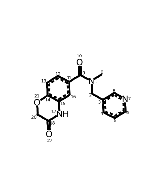 CN(Cc1cccnc1)C(=O)c1ccc2c(c1)NC(=O)CO2